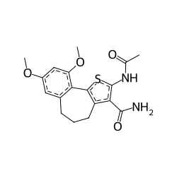 COc1cc2c(c(OC)c1)-c1sc(NC(C)=O)c(C(N)=O)c1CCC2